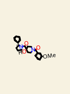 COc1cccc(C(=O)N2CCC3(CC2)O[C@@H]2CC[C@@H](c4ccccc4)N2C3=O)c1